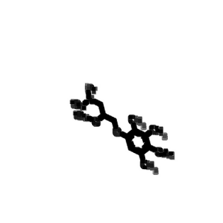 CC(=O)Oc1c(C)cc(OCC(CN(C(C)C)C(C)(C)C)OC(C)(C)C)c(C)c1C